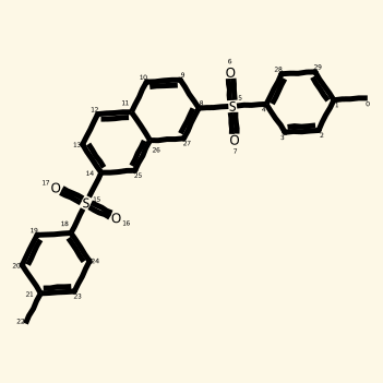 Cc1ccc(S(=O)(=O)c2ccc3ccc(S(=O)(=O)c4ccc(C)cc4)cc3c2)cc1